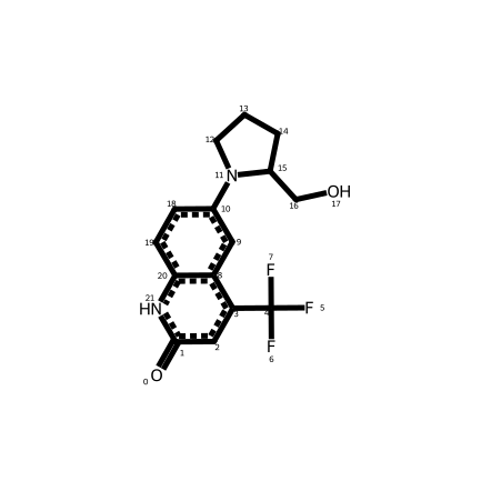 O=c1cc(C(F)(F)F)c2cc(N3CCCC3CO)ccc2[nH]1